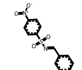 O=[N+]([O-])c1ccc(S(=O)(=O)N=Cc2ccccc2)cc1